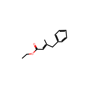 CCOC(=O)/C=C(\C)Cc1ccccc1